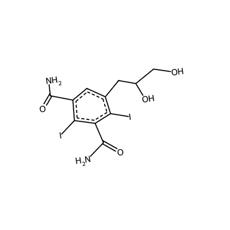 NC(=O)c1cc(CC(O)CO)c(I)c(C(N)=O)c1I